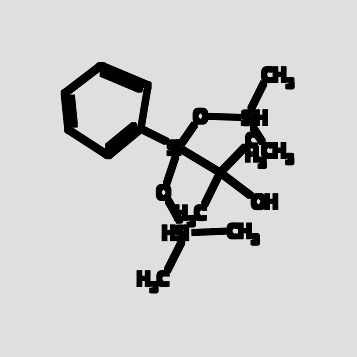 C[SiH](C)O[Si](O[SiH](C)C)(c1ccccc1)C(C)(C)O